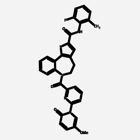 COc1ccc(=O)n(-c2cccc(C(=O)N3CCc4cc(C(=O)Nc5c(C)cccc5F)sc4-c4ccccc43)n2)c1